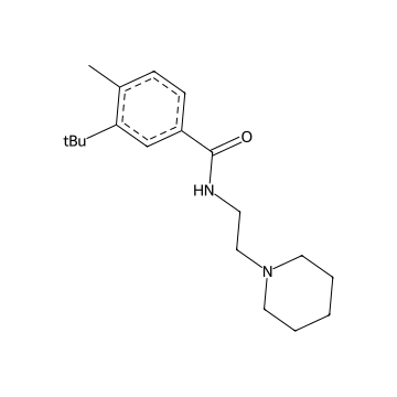 Cc1ccc(C(=O)NCCN2CCCCC2)cc1C(C)(C)C